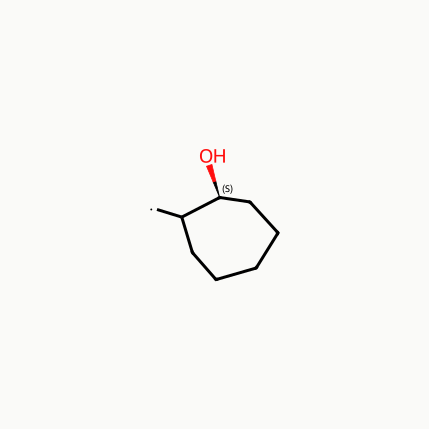 [CH2]C1CCCCC[C@@H]1O